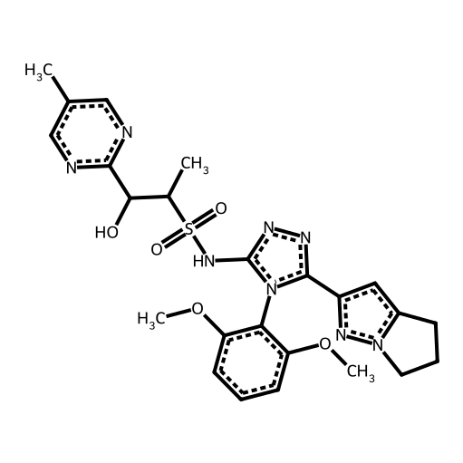 COc1cccc(OC)c1-n1c(NS(=O)(=O)C(C)C(O)c2ncc(C)cn2)nnc1-c1cc2n(n1)CCC2